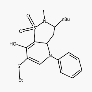 CCCCC1CC2C(=C(O)C(SCC)=CN2c2ccccc2)S(=O)(=O)N1C